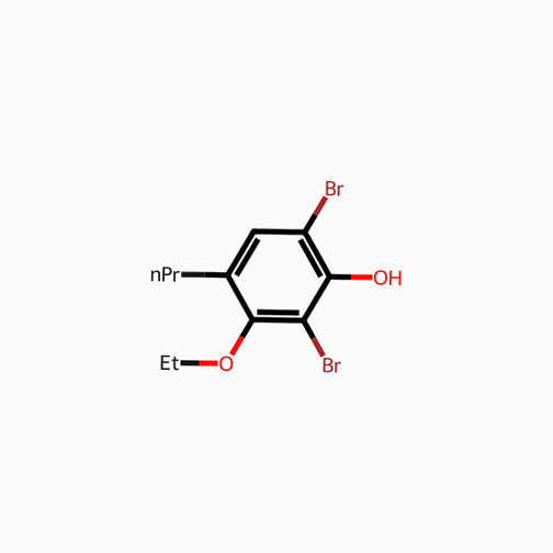 CCCc1cc(Br)c(O)c(Br)c1OCC